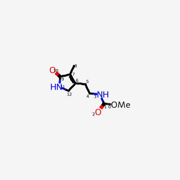 COC(=O)NCCC1=C(C)C(=O)NC1